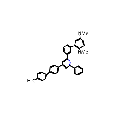 CNc1ccc(NC)c(-c2cccc(-c3cc(-c4ccc(-c5ccc(C)cc5)cc4)cc(-c4ccccc4)n3)c2)c1